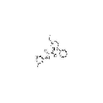 CC[C@H]1CC[C@@H](c2ccccc2)N(C(=O)C(=O)Nc2cncc(C)c2)C1